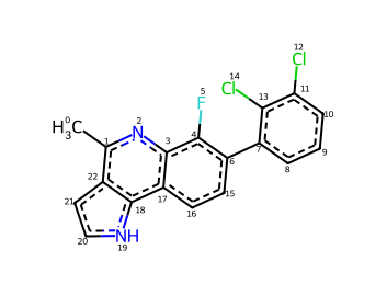 Cc1nc2c(F)c(-c3cccc(Cl)c3Cl)ccc2c2[nH]ccc12